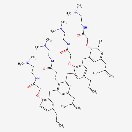 C=CCc1ccc(OCC(=O)NCCN(C)C)c(Cc2cc(CC(=C)C)cc(Cc3cc(CC=C)cc(Cc4cc(CC(=C)C)cc(CC)c4OCC(=O)NCCN(C)C)c3OCC(=O)NCCN(C)C)c2OCC(=O)NCCN(C)C)c1